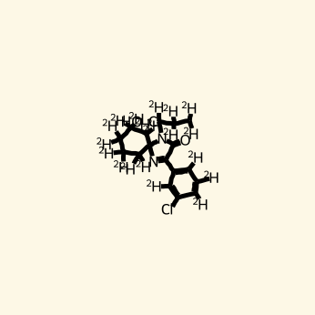 [2H]c1c([2H])c(Cl)c([2H])c(C2=NC3(N(C([2H])(C(=O)O)C([2H])([2H])C([2H])[2H])C2=O)C([2H])([2H])C([2H])([2H])C([2H])([2H])C([2H])([2H])C3([2H])[2H])c1[2H]